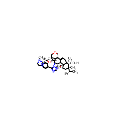 CC(C)[C@@H](C)[C@@]1(C)CC[C@]2(C)[C@H]3CC[C@@H]4[C@@]5(COC[C@]4(C)[C@@H](OC[C@@H]4CCCN4C)[C@H](n4ncnc4-c4ccncc4)C5)C3=CC[C@@]2(C)[C@@H]1C(=O)O